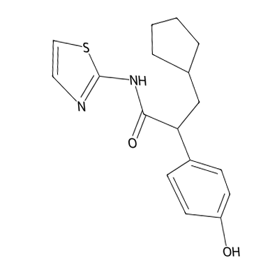 O=C(Nc1nccs1)C(CC1CCCC1)c1ccc(O)cc1